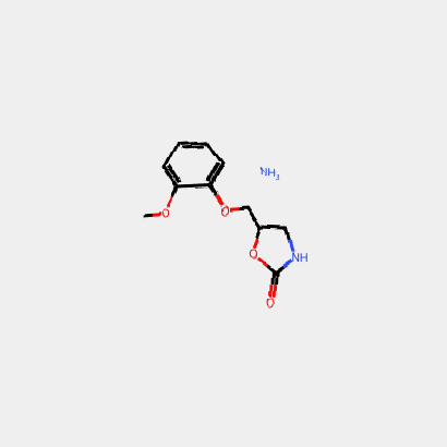 COc1ccccc1OCC1CNC(=O)O1.N